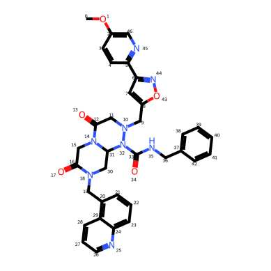 COc1ccc(-c2cc(CN3CC(=O)N4CC(=O)N(Cc5cccc6ncccc56)CC4N3C(=O)NCc3ccccc3)on2)nc1